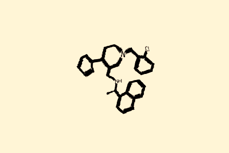 C[C@@H](NCC1CN(Cc2ccccc2Cl)CCC1c1ccccc1)c1cccc2ccccc12